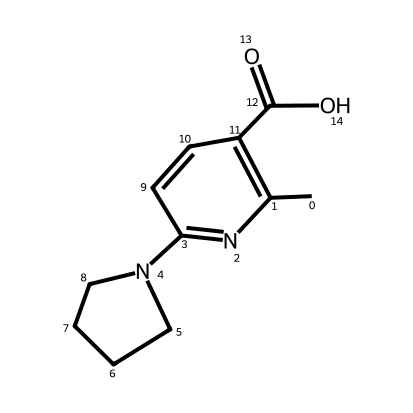 Cc1nc(N2CCCC2)ccc1C(=O)O